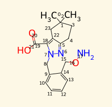 CC1(C)CCc2nn(Cc3ccccc3CON)c(C(=O)O)c2C1